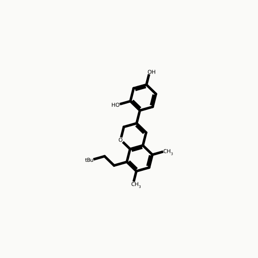 Cc1cc(C)c(CCC(C)(C)C)c2c1C=C(c1ccc(O)cc1O)CO2